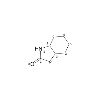 O=C1[CH]C2CCCCC2N1